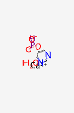 O.O=[PH]([O-])[O-].[Ca+2].c1cncnc1